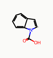 O=C(O)n1[c]cc2ccccc21